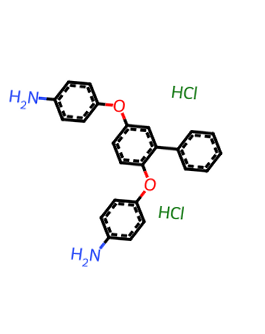 Cl.Cl.Nc1ccc(Oc2ccc(Oc3ccc(N)cc3)c(-c3ccccc3)c2)cc1